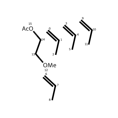 C=CC.C=CC.C=CC.C=CC.COCCOC(C)=O